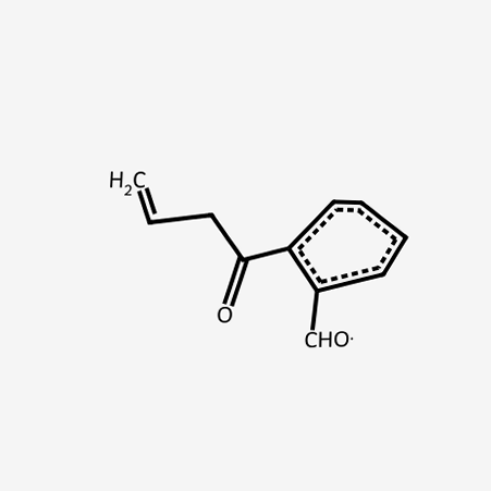 C=CCC(=O)c1ccccc1[C]=O